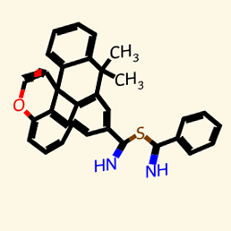 CC1(C)c2ccccc2C2(c3ccccc3Oc3ccccc32)c2ccc(C(=N)SC(=N)c3ccccc3)cc21